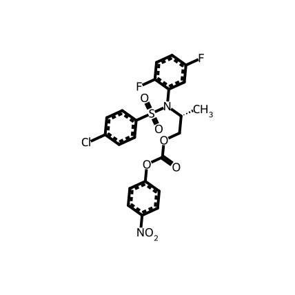 C[C@H](COC(=O)Oc1ccc([N+](=O)[O-])cc1)N(c1cc(F)ccc1F)S(=O)(=O)c1ccc(Cl)cc1